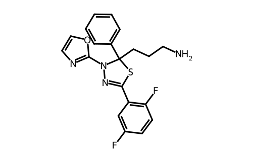 NCCCC1(c2ccccc2)SC(c2cc(F)ccc2F)=NN1c1ncco1